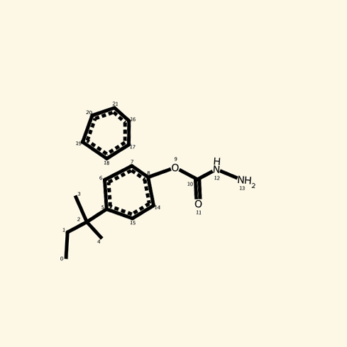 CCC(C)(C)c1ccc(OC(=O)NN)cc1.c1ccccc1